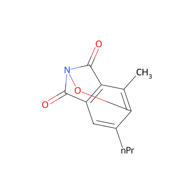 CCCc1cc2c3c(C)c1ON(C2=O)C3=O